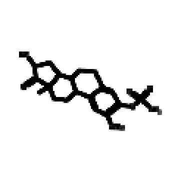 COc1cc2c(cc1OS(N)(=O)=O)CCC1C2CCC2(C)C(=O)C(C#N)CC12